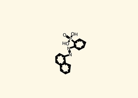 O=P(O)(O)c1ccccc1N=Nc1cccc2ccccc12